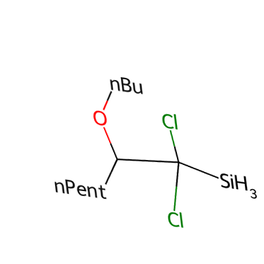 CCCCCC(OCCCC)C([SiH3])(Cl)Cl